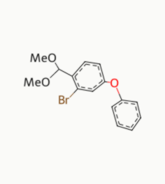 COC(OC)c1ccc(Oc2ccccc2)cc1Br